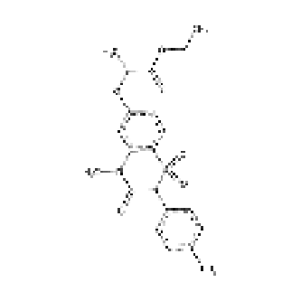 CCOC(=O)[C@@H](C)Oc1ccc2c(c1)N(C)C(=O)N(c1ccc(C)cc1)S2(=O)=O